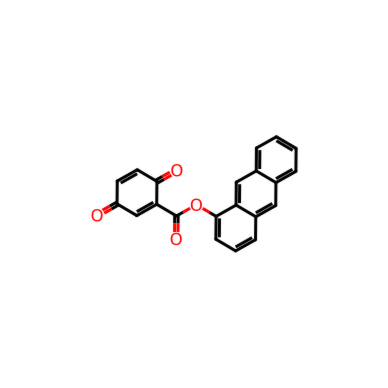 O=C1C=CC(=O)C(C(=O)Oc2cccc3cc4ccccc4cc23)=C1